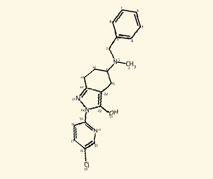 CN(Cc1ccccc1)C1CCc2nn(-c3ccc(Cl)cn3)c(O)c2C1